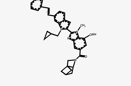 COc1cc(C(=O)N2CC34CC(CC23)C4)cc2nc(-c3cc4ccc(/C=C/c5ccccc5)cc4n3CC3CC3)n(C)c12